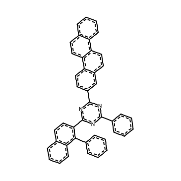 c1ccc(-c2nc(-c3ccc4c(ccc5c6ccccc6ccc45)c3)nc(-c3ccc4ccccc4c3-c3ccccc3)n2)cc1